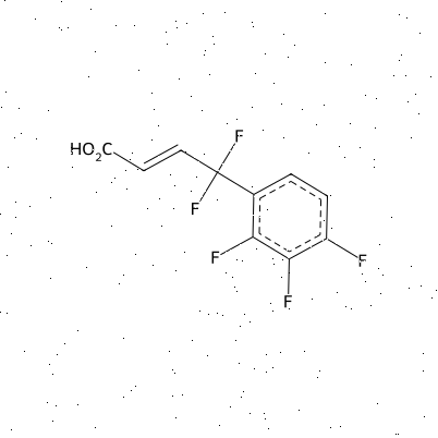 O=C(O)C=CC(F)(F)c1ccc(F)c(F)c1F